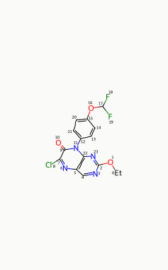 CCOc1ncc2nc(Cl)c(=O)n(-c3ccc(OC(F)F)cc3)c2n1